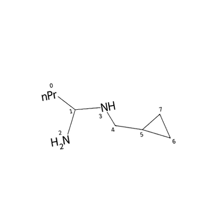 CCCC(N)NCC1CC1